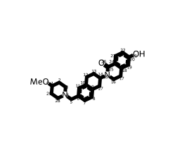 COC1CCN(Cc2ccc3c(c2)CCC(N2CCc4cc(O)ccc4C2=O)C3)CC1